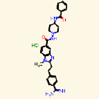 Cl.Cn1c(CCc2ccc(C(=N)N)cc2)nc2cc(C(=O)NN3CCC(NC(=O)c4ccccc4)CC3)ccc21